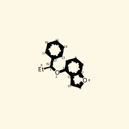 [CH2]C[C@H](Oc1cccc2occc12)c1ccccc1